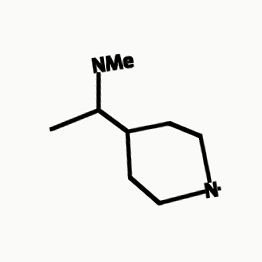 CNC(C)C1CC[N]CC1